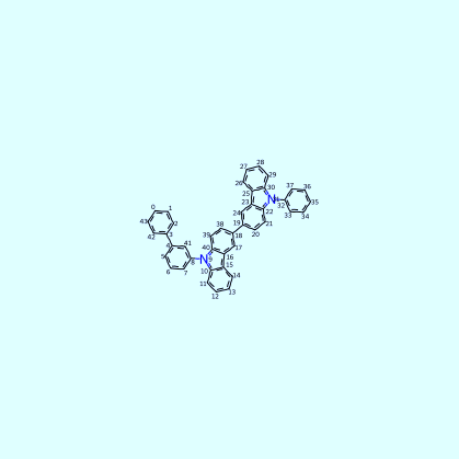 c1ccc(-c2cccc(-n3c4ccccc4c4cc(-c5ccc6c(c5)c5ccccc5n6-c5ccccc5)ccc43)c2)cc1